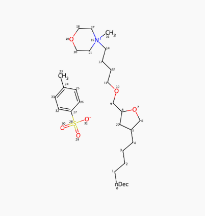 CCCCCCCCCCCCCCC1COC(COCCCC[N+]2(C)CCOCC2)C1.Cc1ccc(S(=O)(=O)[O-])cc1